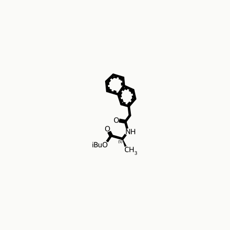 CC(C)COC(=O)[C@H](C)NC(=O)Cc1ccc2ccccc2c1